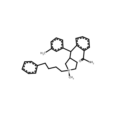 Cc1cccc(C(c2ccccc2C(N)=O)C2CC[N@+](C)(CCCCc3ccccc3)C2)c1